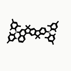 Cc1cc(C)c(B(c2ccc3c(c2)C(C)(C)c2cc4c(cc2-3)C(C)(C)c2cc(B(c3c(C)cc(C)cc3C)c3c(C)cc(C)cc3C)c3ccccc3c2-4)c2c(C)cc(C)cc2C)c(C)c1